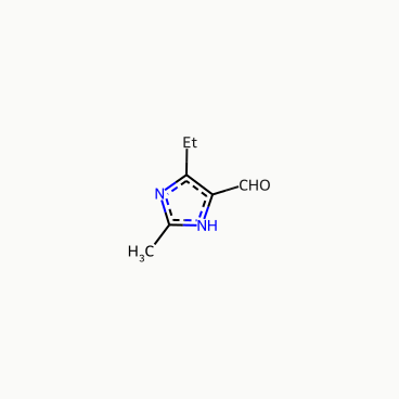 CCc1nc(C)[nH]c1C=O